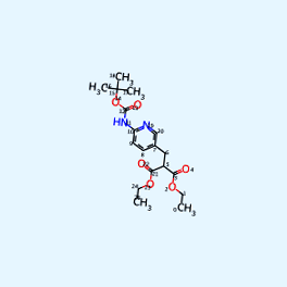 CCOC(=O)C(Cc1ccc(NC(=O)OC(C)(C)C)nc1)C(=O)OCC